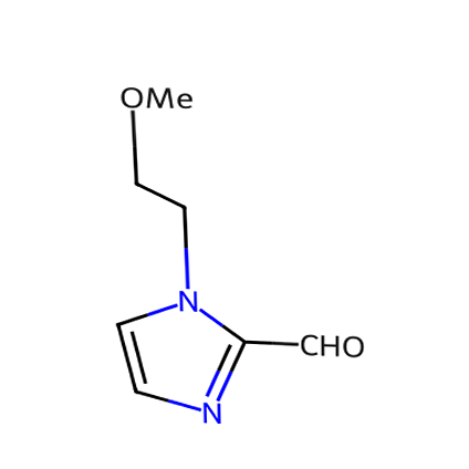 COCCn1ccnc1C=O